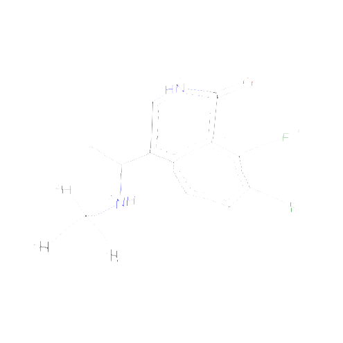 [2H]C([2H])([2H])NC(C)c1c[nH]c(=O)c2c(F)c(F)ccc12